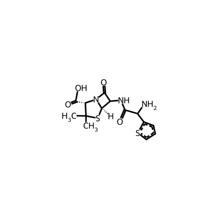 CC1(C)S[C@@H]2C(NC(=O)C(N)c3cccs3)C(=O)N2[C@H]1C(=O)O